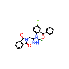 O=C(c1ccccc1)c1cc(F)ccc1-n1c(Cl)nnc1CN1C(=O)c2ccccc2C1=O